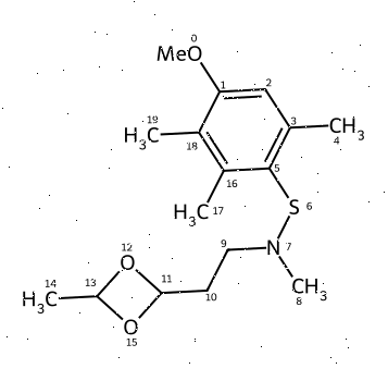 COc1cc(C)c(SN(C)CCC2OC(C)O2)c(C)c1C